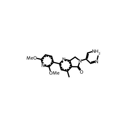 C/N=C\C(=C/N)N1Cc2nc(-c3ccc(OC)nc3OC)cc(C)c2C1=O